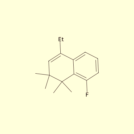 CCC1=CC(C)(C)C(C)(C)c2c(F)cccc21